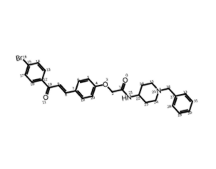 O=C(COc1ccc(/C=C/C(=O)c2ccc(Br)cc2)cc1)NC1CCN(Cc2ccccc2)CC1